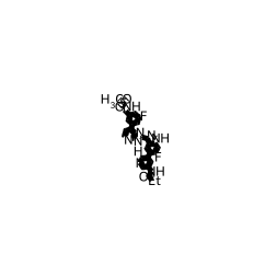 CCC(=O)Nc1cncc(-c2cc3c(-c4nc5c(-c6cc(F)cc(CNS(C)(=O)=O)c6)ccnc5[nH]4)n[nH]c3cc2F)c1